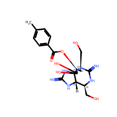 Cc1ccc(C(=O)O[C@H]2[C@H](CO)N3C(=N)N[C@@H](CO)[C@@H]4NC(=N)N[C@@]43C2(O)O)cc1